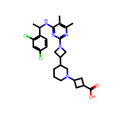 Cc1nc(N2CC(C3CCCN(C4CC(C(=O)O)C4)C3)C2)nc(NC(C)c2ccc(Cl)cc2Cl)c1C